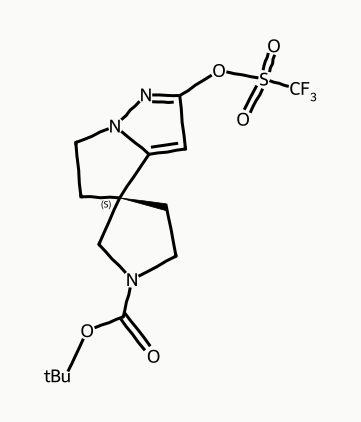 CC(C)(C)OC(=O)N1CC[C@]2(CCn3nc(OS(=O)(=O)C(F)(F)F)cc32)C1